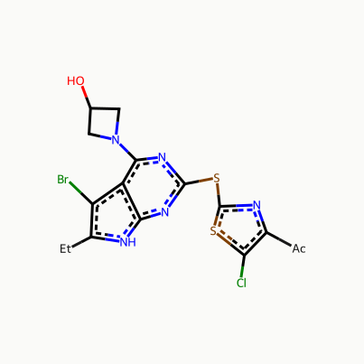 CCc1[nH]c2nc(Sc3nc(C(C)=O)c(Cl)s3)nc(N3CC(O)C3)c2c1Br